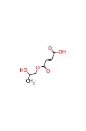 [CH2]C(O)COC(=O)/C=C/C(=O)O